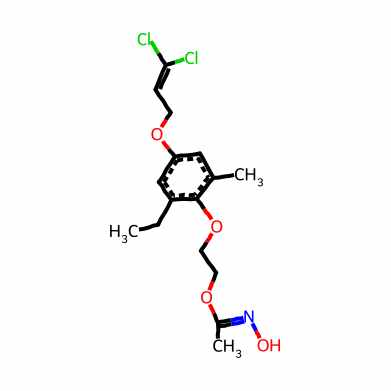 CCc1cc(OCC=C(Cl)Cl)cc(C)c1OCCOC(C)=NO